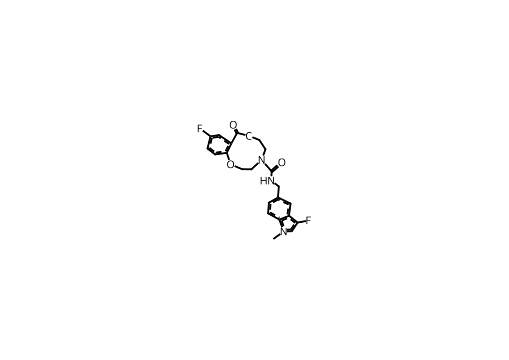 Cn1cc(F)c2cc(CNC(=O)N3CCCC(=O)c4cc(F)ccc4OCC3)ccc21